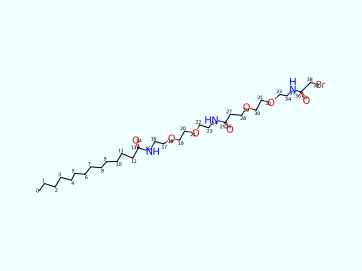 CCCCCCCCCCCCCC(=O)NCCOCCOCCNC(=O)CCOCCOCCNC(=O)CBr